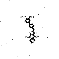 CC(C)Cc1cc(-c2ccc(CCNC(C(=O)OC(C)(C)C)[C@H](O)c3cccnc3)cc2)ccc1C(=O)O